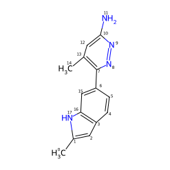 Cc1cc2ccc(-c3nnc(N)cc3C)cc2[nH]1